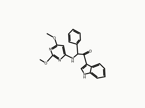 COc1cc(NC(C(=O)c2c[nH]c3ccccc23)c2ccccc2)nc(OC)n1